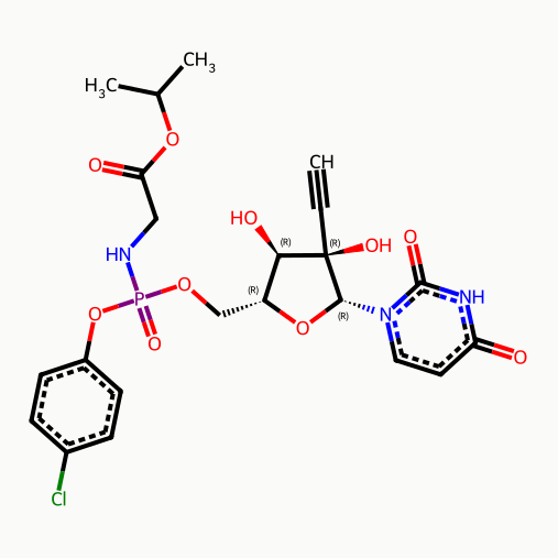 C#C[C@@]1(O)[C@H](O)[C@@H](COP(=O)(NCC(=O)OC(C)C)Oc2ccc(Cl)cc2)O[C@H]1n1ccc(=O)[nH]c1=O